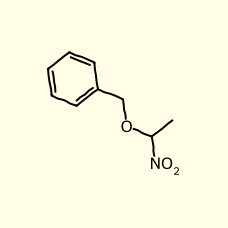 CC(OCc1ccccc1)[N+](=O)[O-]